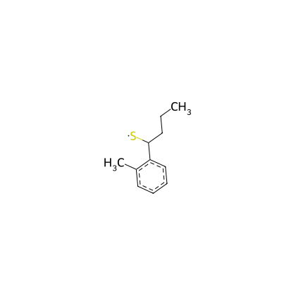 CCCC([S])c1ccccc1C